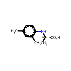 Cc1ccc(N[C@@H](C)C(=O)O)c(C)c1